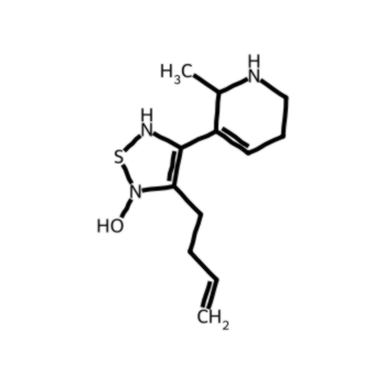 C=CCCC1=C(C2=CCCNC2C)NSN1O